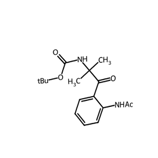 CC(=O)Nc1ccccc1C(=O)C(C)(C)NC(=O)OC(C)(C)C